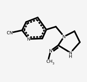 [C-]#[N+]c1ccc(CN2CCN/C2=N\C)cn1